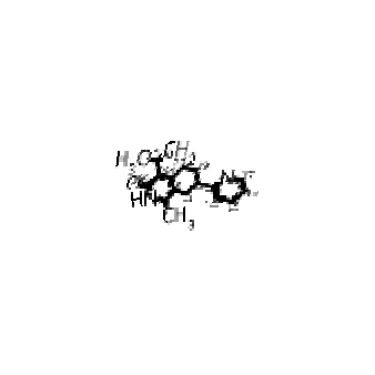 C=C(C)c1c2c(c(C)[nH]c1=O)CC(c1ccccn1)CC2